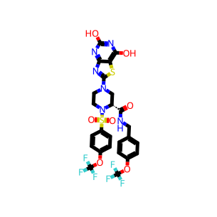 O=C(NCc1ccc(OC(F)(F)F)cc1)[C@H]1CN(c2nc3nc(O)nc(O)c3s2)CCN1S(=O)(=O)c1ccc(OC(F)(F)F)cc1